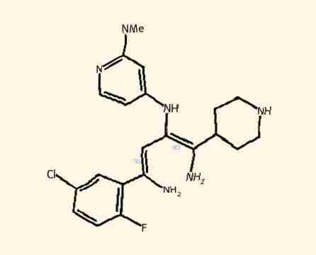 CNc1cc(NC(/C=C(\N)c2cc(Cl)ccc2F)=C(/N)C2CCNCC2)ccn1